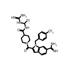 CCC(NC(=N)N)NC(=O)C1CCN(C(=O)c2cc3ccc(C(=N)N)cc3n2Cc2ccc(C(F)(F)F)cc2)CC1